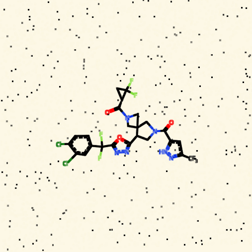 O=C(c1cc(C(F)(F)F)n[nH]1)N1CC(c2nnc(C(F)(F)c3ccc(Cl)c(Cl)c3)o2)C2(C1)CN(C(=O)[C@H]1CC1(F)F)C2